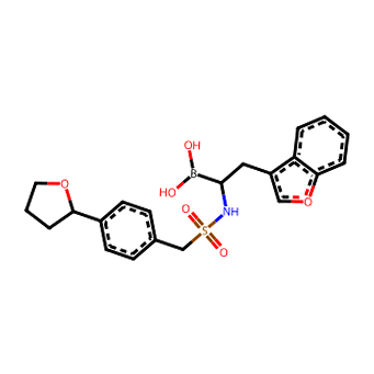 O=S(=O)(Cc1ccc(C2CCCO2)cc1)NC(Cc1coc2ccccc12)B(O)O